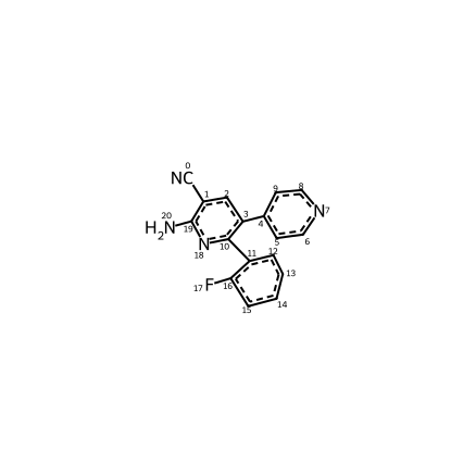 N#Cc1cc(-c2ccncc2)c(-c2ccccc2F)nc1N